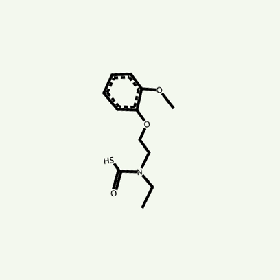 CCN(CCOc1ccccc1OC)C(=O)S